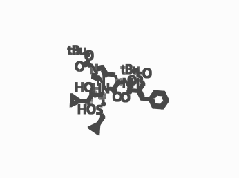 CC(C)(C)OC(=O)n1cnc(C[C@H](NC(=O)C(=Cc2ccccc2)CS(=O)(=O)C(C)(C)C)C(=O)N[C@H](CSCC2CC2)[C@H](O)[C@H](O)C2CC2)c1